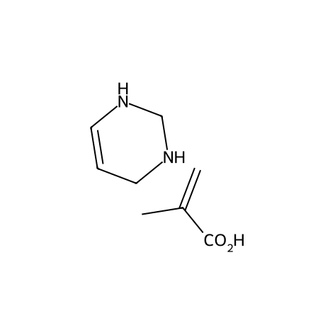 C1=CNCNC1.C=C(C)C(=O)O